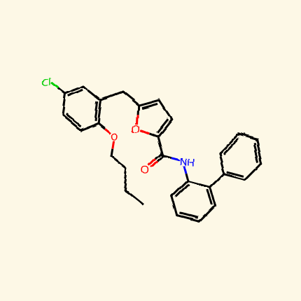 CCCCOc1ccc(Cl)cc1Cc1ccc(C(=O)Nc2ccccc2-c2ccccc2)o1